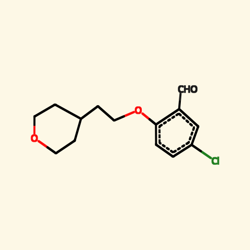 O=Cc1cc(Cl)ccc1OCCC1CCOCC1